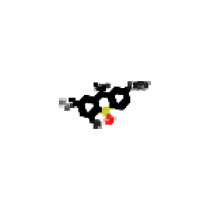 Cc1cc2c(c(C(C)C)c1)[S+]([O-])c1ccc(C(=O)[O-])cc1C2.[Na+]